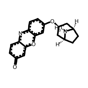 CN1[C@@H]2CC[C@H]1C[C@@H](Oc1ccc3nc4ccc(=O)cc-4oc3c1)C2